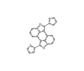 c1csc(-c2oc3cccc4c5c(-c6cccs6)oc6cccc(c2c34)c65)c1